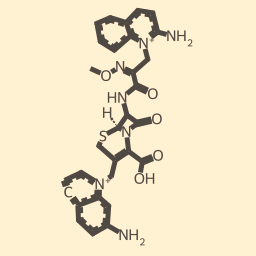 CON=C(C[n+]1c(N)ccc2ccccc21)C(=O)NC1C(=O)N2C(C(=O)O)=C(C[n+]3cccc4ccc(N)cc43)CS[C@@H]12